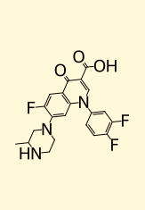 CC1CN(c2cc3c(cc2F)c(=O)c(C(=O)O)cn3-c2ccc(F)c(F)c2)CCN1